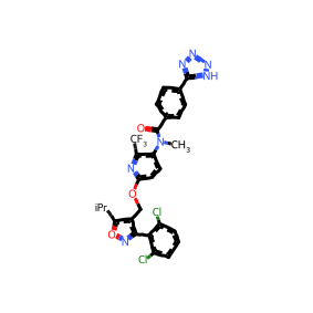 CC(C)c1onc(-c2c(Cl)cccc2Cl)c1COc1ccc(N(C)C(=O)c2ccc(-c3nnn[nH]3)cc2)c(C(F)(F)F)n1